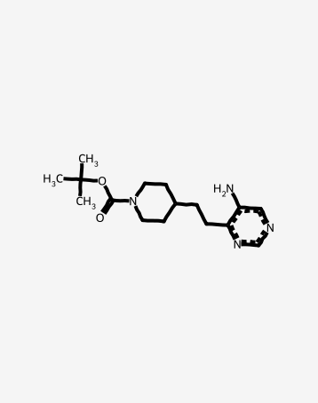 CC(C)(C)OC(=O)N1CCC(CCc2ncncc2N)CC1